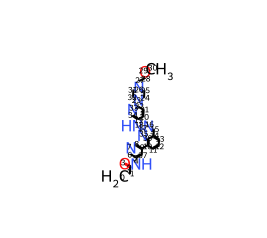 C=CC(=O)Nc1cncc(-c2cccc3cnc(Nc4ccc(N5CCN(CCOC)CC5)nc4)nc23)c1